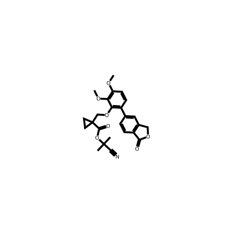 COc1ccc(-c2ccc3c(c2)COC3=O)c(OCC2(C(=O)OC(C)(C)C#N)CC2)c1OC